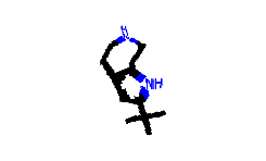 CC(C)(C)c1cc2c([nH]1)CNCC2